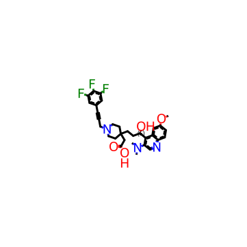 COc1ccc2ncc(N(C)C)c([C@@H](O)CCC3(CC(=O)O)CCN(CC#Cc4cc(F)c(F)c(F)c4)CC3)c2c1